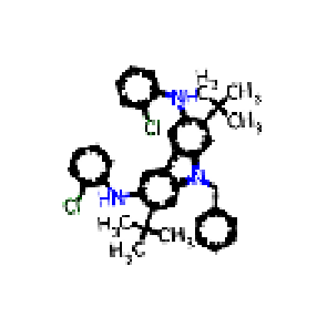 CC(C)(C)c1cc2c(cc1Nc1ccccc1Cl)c1cc(Nc3ccccc3Cl)c(C(C)(C)C)cc1n2Cc1ccccc1